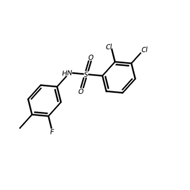 Cc1ccc(NS(=O)(=O)c2cccc(Cl)c2Cl)cc1F